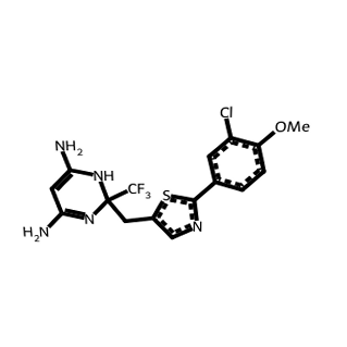 COc1ccc(-c2ncc(CC3(C(F)(F)F)N=C(N)C=C(N)N3)s2)cc1Cl